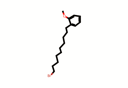 COc1ccccc1CCCCCCCCCCBr